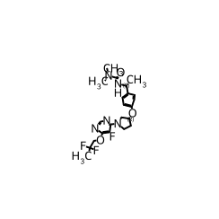 C[C@H](NC(=O)N(C)C)c1ccc(O[C@@H]2CCN(c3ncnc(OCC(C)(F)F)c3F)C2)cc1